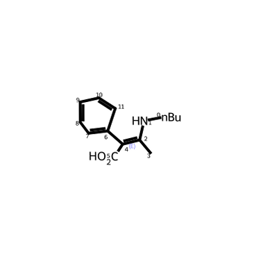 CCCCN/C(C)=C(/C(=O)O)c1ccccc1